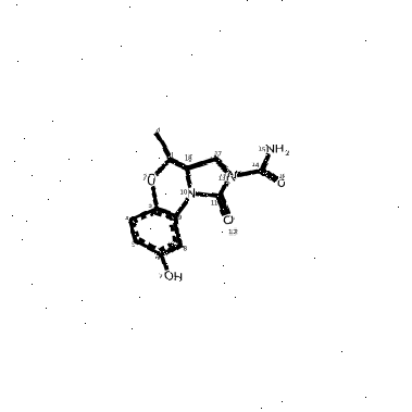 CC1Oc2ccc(O)cc2N2C(=O)N(C(N)=O)CC12